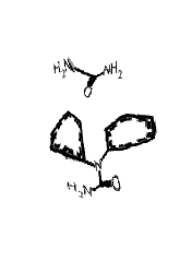 NC(=O)N(c1ccccc1)c1ccccc1.NC(N)=O